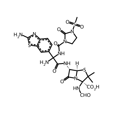 CC1(C)S[C@@H]2[C@@H](NC(=O)C(N)(NC(=O)N3CCN(S(C)(=O)=O)C3=O)c3ccc4nc(N)sc4c3)C(=O)N2[C@@]1(NC=O)C(=O)O